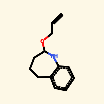 C=CCOC1CCCc2ccccc2N1